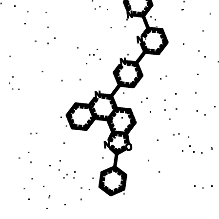 c1ccc(-c2nc3c(ccc4c(-c5ccc(-c6cccc(-c7ccccn7)n6)nc5)nc5ccccc5c43)o2)cc1